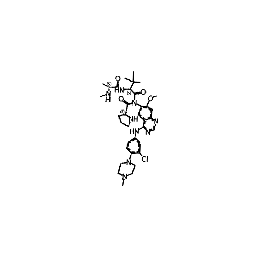 CN[C@@H](C)C(=O)N[C@H](C(=O)N(C(=O)[C@@H]1CCCN1)c1cc2c(Nc3ccc(N4CCN(C)CC4)c(Cl)c3)ncnc2cc1OC)C(C)(C)C